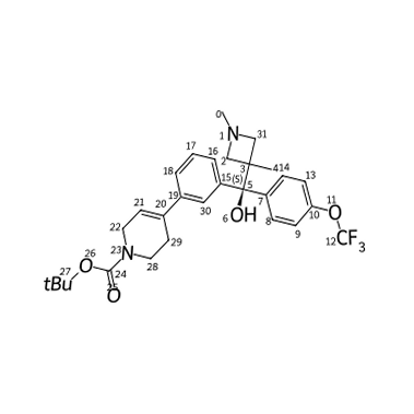 CN1CC(C)([C@](O)(c2ccc(OC(F)(F)F)cc2)c2cccc(C3=CCN(C(=O)OC(C)(C)C)CC3)c2)C1